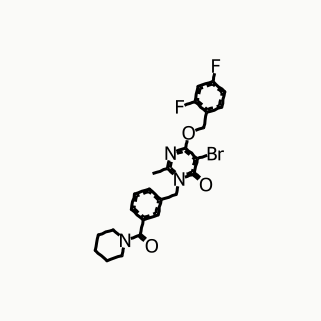 Cc1nc(OCc2ccc(F)cc2F)c(Br)c(=O)n1Cc1cccc(C(=O)N2CCCCC2)c1